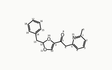 Cc1cccc(CC(=O)C2=COC(Cc3ccccc3)O2)n1